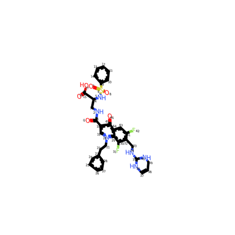 O=C(NCC(NS(=O)(=O)c1ccccc1)C(=O)O)c1cn(CCc2ccccc2)c2c(F)c(CNC3NC=CCN3)c(F)cc2c1=O